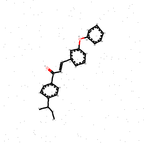 CCC(C)c1ccc(C(=O)/C=C/c2cccc(Oc3ccccc3)c2)cc1